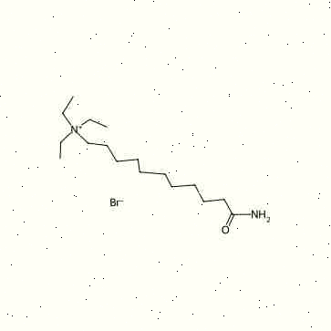 CC[N+](CC)(CC)CCCCCCCCCCC(N)=O.[Br-]